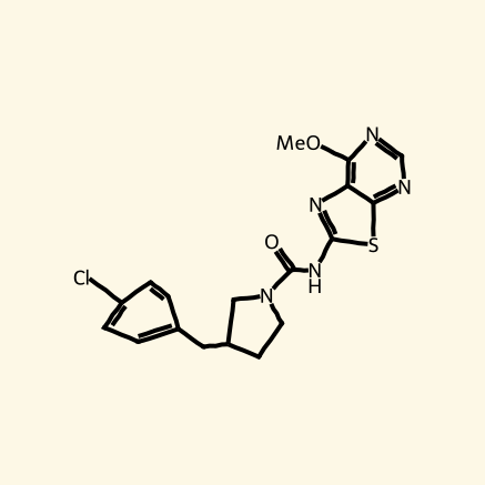 COc1ncnc2sc(NC(=O)N3CCC(Cc4ccc(Cl)cc4)C3)nc12